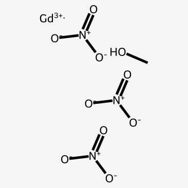 CO.O=[N+]([O-])[O-].O=[N+]([O-])[O-].O=[N+]([O-])[O-].[Gd+3]